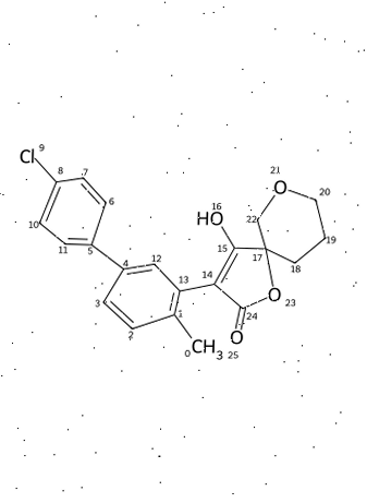 Cc1ccc(-c2ccc(Cl)cc2)cc1C1=C(O)C2(CCCOC2)OC1=O